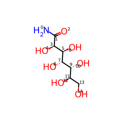 NC(=O)[C@H](O)[C@@H](O)[C@@H](O)[C@H](O)[C@H](O)CO